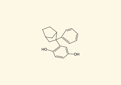 Oc1ccc(O)c(C2(c3ccccc3)CC3CCC2C3)c1